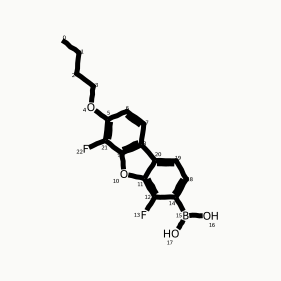 CCCCOc1ccc2c(oc3c(F)c(B(O)O)ccc32)c1F